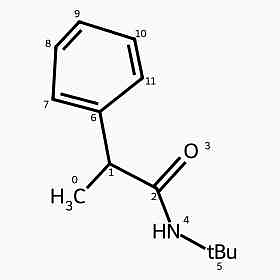 CC(C(=O)NC(C)(C)C)c1ccccc1